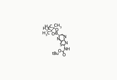 CC(C)(C)OC(=O)Nc1nc2ncc(B3OC(C)(C)C(C)(C)O3)nc2s1